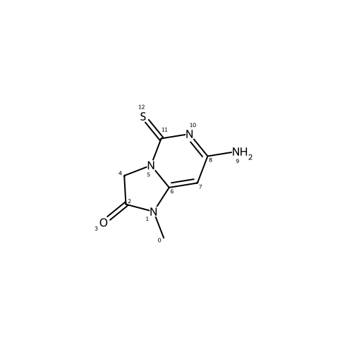 CN1C(=O)Cn2c1cc(N)nc2=S